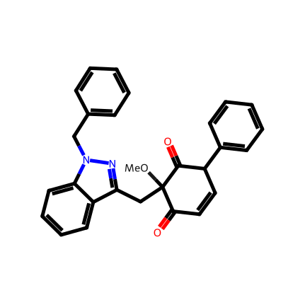 COC1(Cc2nn(Cc3ccccc3)c3ccccc23)C(=O)C=CC(c2ccccc2)C1=O